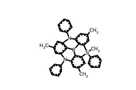 Cc1cc2c3c(c1)N(c1ccccc1)c1cc(C)cc4c1B3c1c(cc(C)cc1[Si]4(C)c1ccccc1)N2c1ccccc1